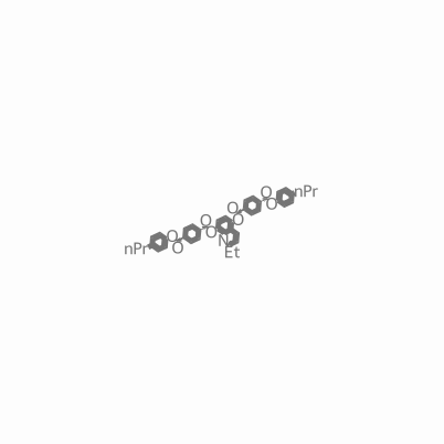 CCCc1ccc(OC(=O)[C@H]2CC[C@H](C(=O)Oc3ccc(OC(=O)[C@H]4CC[C@H](C(=O)Oc5ccc(CCC)cc5)CC4)c4nc(CC)ccc34)CC2)cc1